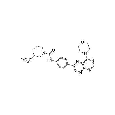 CCOC(=O)C1CCCN(C(=O)Nc2ccc(-c3cnc4ncnc(N5CCOCC5)c4n3)cc2)C1